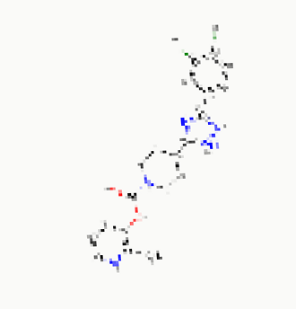 Cc1ncccc1OC(=O)N1CCC(c2nc(-c3ccc(F)c(F)c3)n[nH]2)CC1